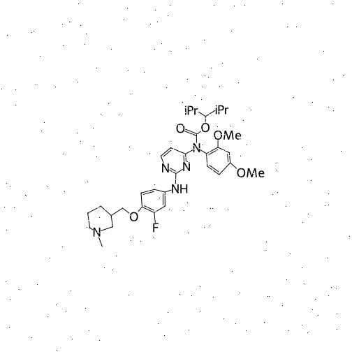 COc1ccc(N(C(=O)OC(C(C)C)C(C)C)c2ccnc(Nc3ccc(OCC4CCCN(C)C4)c(F)c3)n2)c(OC)c1